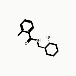 Cc1ccccc1C(=O)NC[C@@H]1CCCC[C@H]1O